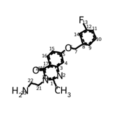 Cc1nc2cc(OCc3cccc(F)c3)ccc2c(=O)n1CCN